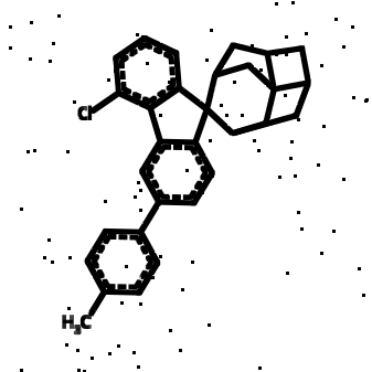 Cc1ccc(-c2ccc3c(c2)-c2c(Cl)cccc2C32C3CC4CC5CC2CC45C3)cc1